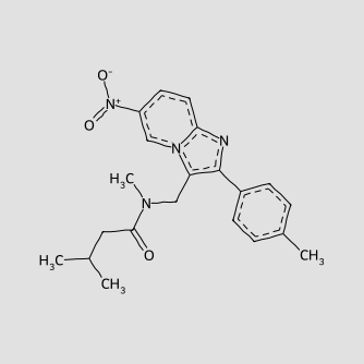 Cc1ccc(-c2nc3ccc([N+](=O)[O-])cn3c2CN(C)C(=O)CC(C)C)cc1